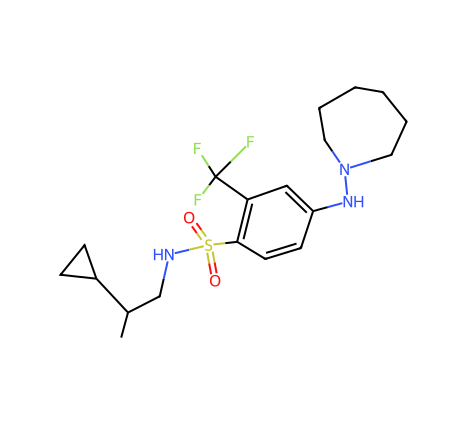 CC(CNS(=O)(=O)c1ccc(NN2CCCCCC2)cc1C(F)(F)F)C1CC1